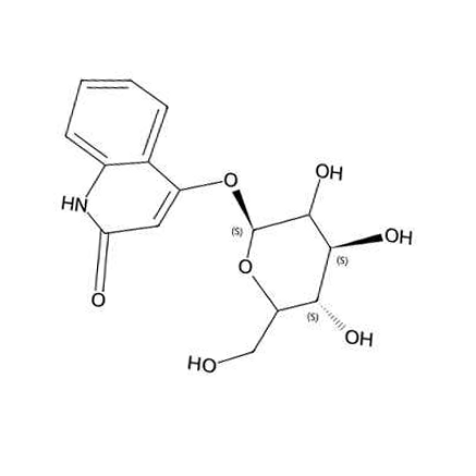 O=c1cc(O[C@@H]2OC(CO)[C@@H](O)[C@H](O)C2O)c2ccccc2[nH]1